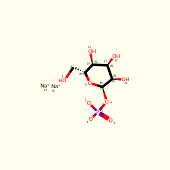 O=P([O-])([O-])O[C@H]1O[C@H](CO)[C@@H](O)[C@@H](O)[C@H]1O.[Na+].[Na+]